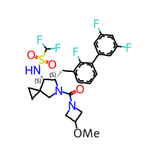 COC1CN(C(=O)N2CC3(CC3)[C@H](NS(=O)(=O)C(F)F)[C@@H]2Cc2cccc(-c3cc(F)cc(F)c3)c2F)C1